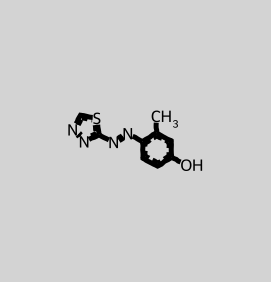 Cc1cc(O)ccc1N=Nc1nncs1